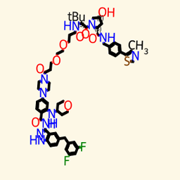 Cc1ncsc1-c1ccc(CNC(=O)[C@@H]2C[C@@H](O)CN2C(=O)[C@@H](NC(=O)CCOCCOCCC(=O)N2CCN(c3ccc(C(=O)Nc4n[nH]c5ccc(Cc6cc(F)cc(F)c6)cc45)c(NC4CCOCC4)c3)CC2)C(C)(C)C)cc1